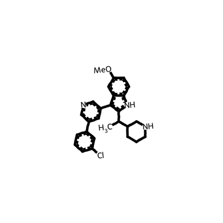 COc1ccc2[nH]c(C(C)C3CCCNC3)c(-c3cncc(-c4cccc(Cl)c4)c3)c2c1